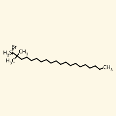 CCCCCCCCCCCCCCCCCCC(C)(C)[SiH2]Br